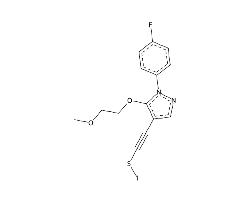 COCCOc1c(C#CSI)cnn1-c1ccc(F)cc1